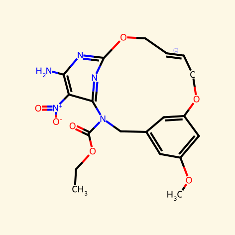 CCOC(=O)N1Cc2cc(OC)cc(c2)OC/C=C/COc2nc(N)c([N+](=O)[O-])c1n2